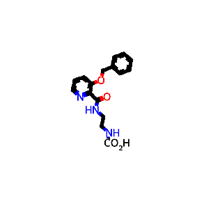 O=C(O)NCCNC(=O)c1ncccc1OCc1ccccc1